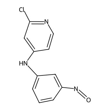 O=Nc1cccc(Nc2ccnc(Cl)c2)c1